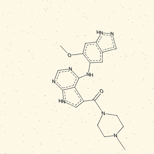 COc1cc2[nH]ncc2cc1Nc1ncnc2[nH]cc(C(=O)N3CCN(C)CC3)c12